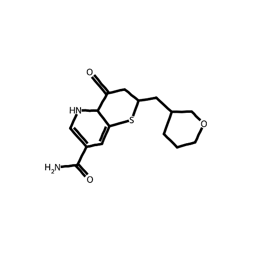 NC(=O)C1=CNC2C(=O)CC(CC3CCCOC3)SC2=C1